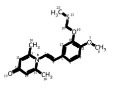 COc1ccc(C=Cn2c(C)cc(=O)cc2C)cc1OCSC